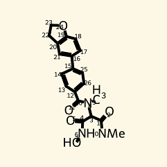 CNC(=O)C(C(=O)NO)N(C)C(=O)c1ccc(-c2ccc3c(c2)CCO3)cc1